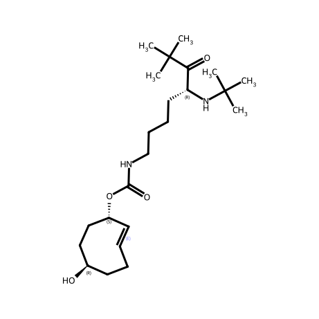 CC(C)(C)N[C@H](CCCCNC(=O)O[C@@H]1/C=C/CC[C@@H](O)CC1)C(=O)C(C)(C)C